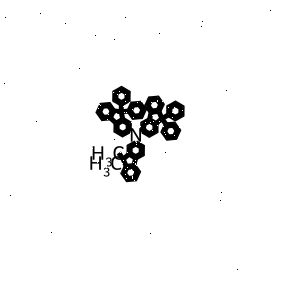 CC1(C)c2ccccc2-c2ccc(N(c3ccc4c(c3)-c3ccccc3C4(c3ccccc3)c3ccccc3)c3ccc4c(c3)C(c3ccccc3)(c3ccccc3)c3ccccc3-4)cc21